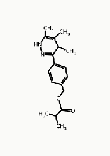 CC1=C(C)C(C)C(c2ccc(COC(=O)C(C)C)cc2)=NN1